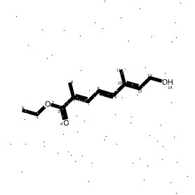 CCOC(=O)/C(C)=C/C=C/C(C)=C/CO